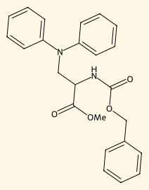 COC(=O)C(CN(c1ccccc1)c1ccccc1)NC(=O)OCc1ccccc1